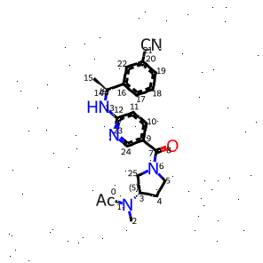 CC(=O)N(C)[C@H]1CCN(C(=O)c2ccc(N[C@@H](C)c3cccc(C#N)c3)nc2)C1